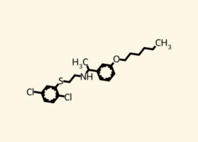 CCCCCCOc1cccc(C(C)NCCSc2cc(Cl)ccc2Cl)c1